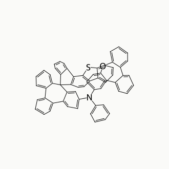 c1ccc(N(c2ccc3c(c2)-c2ccccc2-c2ccccc2O3)c2ccc3c(c2)C2(c4ccccc4-c4ccccc4-3)c3ccccc3-c3c2ccc2c3sc3ccccc32)cc1